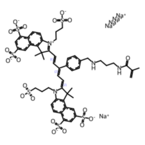 C=C(C)C(=O)NCCCNCc1ccc(C(=C\C=C2/N(CCCS(=O)(=O)[O-])c3ccc4c(S(=O)(=O)[O-])cc(S(=O)(=O)[O-])cc4c3C2(C)C)/C=C/C2=[N+](CCCS(=O)(=O)[O-])c3ccc4c(S(=O)(=O)[O-])cc(S(=O)(=O)[O-])cc4c3C2(C)C)cc1.[Na+].[Na+].[Na+].[Na+].[Na+]